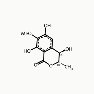 COc1c(O)cc2c(c1O)C(=O)O[C@@H](C)[C@@H]2O